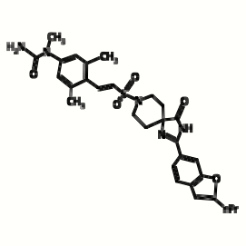 CCCc1cc2ccc(C3=NC4(CCN(S(=O)(=O)C=Cc5c(C)cc(N(C)C(N)=O)cc5C)CC4)C(=O)N3)cc2o1